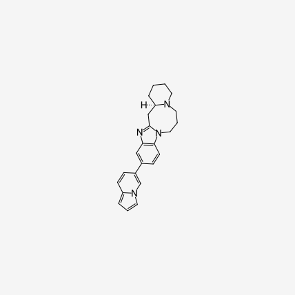 c1cc2ccc(-c3ccc4c(c3)nc3n4CCCN4CCCC[C@@H]4C3)cn2c1